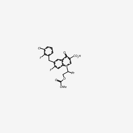 COC(=O)OCC(C(C)C)n1cc(C(=O)O)c(=O)c2cc(Cc3cccc(Cl)c3F)c(F)cc21